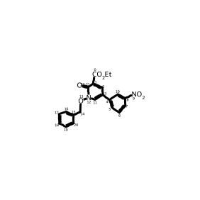 CCOC(=O)c1cc(-c2cccc([N+](=O)[O-])c2)cn(OCc2ccccc2)c1=O